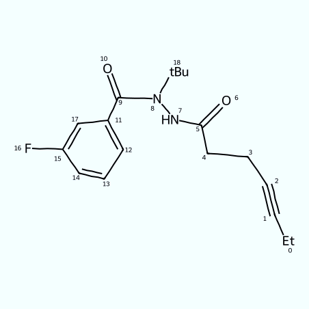 CCC#CCCC(=O)NN(C(=O)c1cccc(F)c1)C(C)(C)C